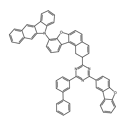 C1=CC(c2nc(-c3cccc(-c4ccccc4)c3)nc(-c3ccc4oc5ccccc5c4c3)n2)Cc2c1ccc1oc3c(-n4c5ccccc5c5cc6ccccc6cc54)cccc3c21